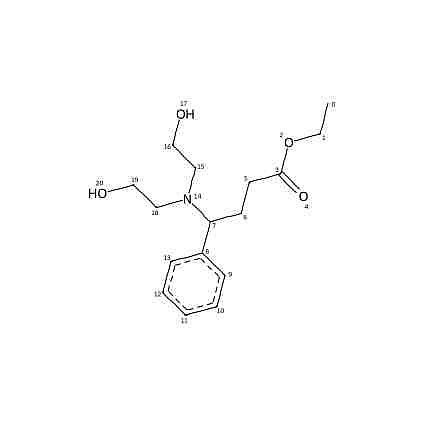 CCOC(=O)CCC(c1ccccc1)N(CCO)CCO